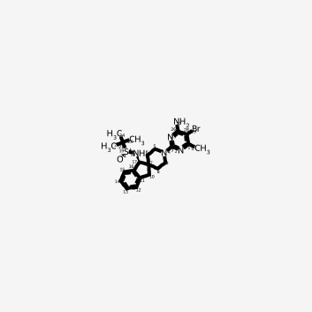 Cc1nc(N2CCC3(CC2)Cc2ccccc2[C@H]3N[S@+]([O-])C(C)(C)C)nc(N)c1Br